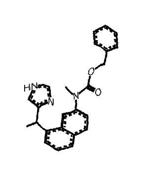 CC(c1c[nH]cn1)c1cccc2ccc(N(C)C(=O)OCc3ccccc3)cc12